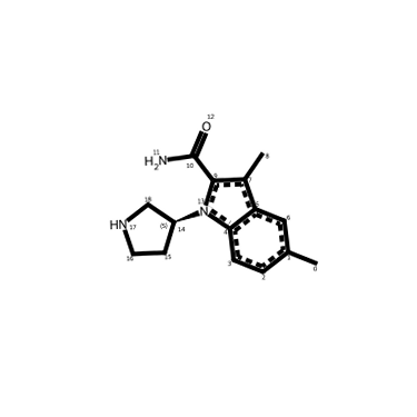 Cc1ccc2c(c1)c(C)c(C(N)=O)n2[C@H]1CCNC1